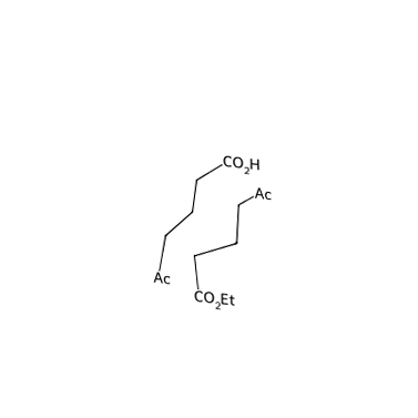 CC(=O)CCCC(=O)O.CCOC(=O)CCCC(C)=O